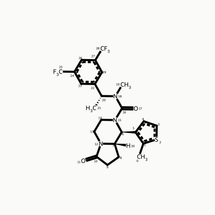 Cc1sccc1[C@H]1[C@@H]2CCC(=O)N2CCN1C(=O)N(C)[C@H](C)c1cc(C(F)(F)F)cc(C(F)(F)F)c1